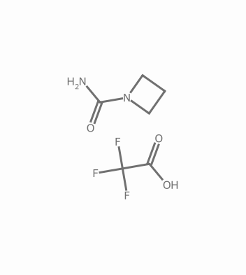 NC(=O)N1CCC1.O=C(O)C(F)(F)F